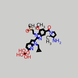 COc1cc(C(=O)N2CC[C@@H](N)[C@H]2C)cc2nc(-c3cc4ccc(OC(O)(O)O)nc4n3CC3CC3)n(CC[S+](C)[O-])c12